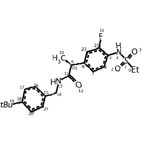 CCS(=O)(=O)Nc1ccc([C@H](C)C(=O)NCc2ccc(C(C)(C)C)cc2)cc1F